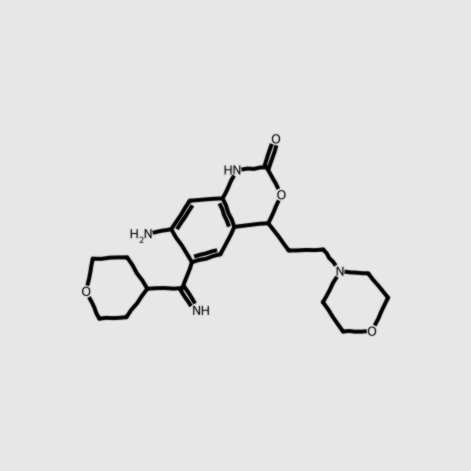 N=C(c1cc2c(cc1N)NC(=O)OC2CCN1CCOCC1)C1CCOCC1